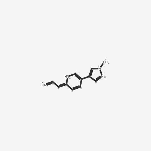 Cn1cc(C2=CN/C(=C\C=N)C=C2)cn1